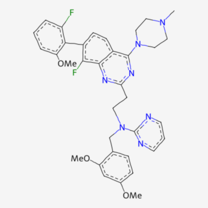 COc1ccc(CN(CCc2nc(N3CCN(C)CC3)c3ccc(-c4c(F)cccc4OC)c(F)c3n2)c2ncccn2)c(OC)c1